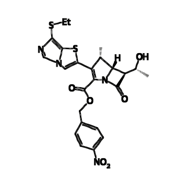 CCSc1ncn2cc(C3=C(C(=O)OCc4ccc([N+](=O)[O-])cc4)N4C(=O)[C@H]([C@@H](C)O)[C@H]4[C@H]3C)sc12